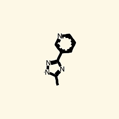 CC1=NC(c2cccnc2)=N[N]1